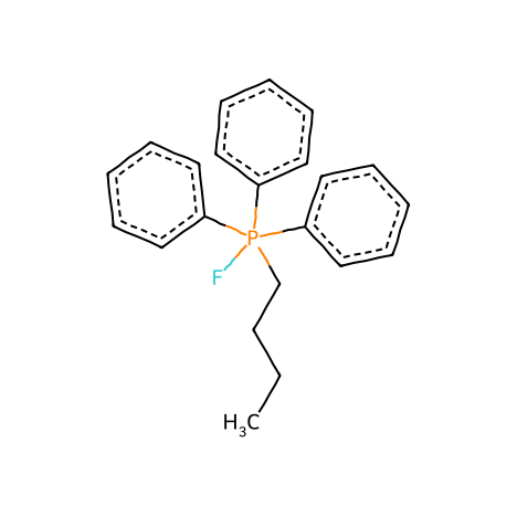 CCCCP(F)(c1ccccc1)(c1ccccc1)c1ccccc1